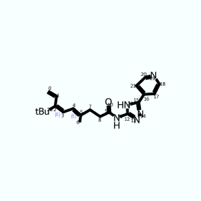 C=C/C(=C\C=C(/C)CCC(=O)Nc1nnc(-c2ccncc2)[nH]1)C(C)(C)C